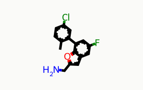 Cc1ccc(Cl)cc1-c1cc(F)cc2cc(CN)oc12